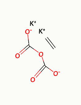 C=C.O=C([O-])OC(=O)[O-].[K+].[K+]